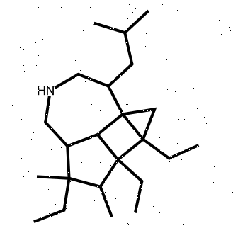 CCC1(C)C2CNCC(CC(C)C)C34CC3(CC)C(CC)(C1C)C24